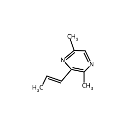 C/C=C/c1nc(C)cnc1C